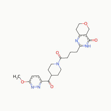 COc1ccc(C(=O)C2CCN(C(=O)CCCc3nc4c(c(=O)[nH]3)COCC4)CC2)nn1